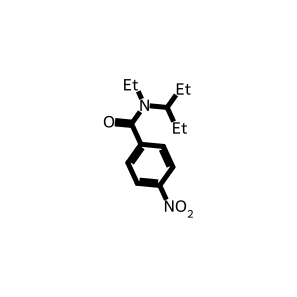 CCC(CC)N(CC)C(=O)c1ccc([N+](=O)[O-])cc1